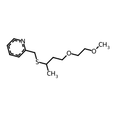 COCCOCCC(C)SCc1ccccn1